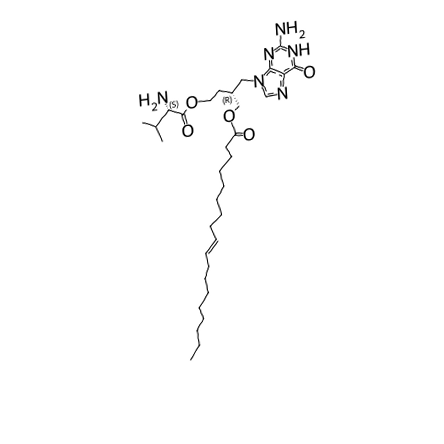 CCCCCCCCC=CCCCCCCCC(=O)OC[C@H](CCOC(=O)[C@@H](N)C(C)C)Cn1cnc2c(=O)[nH]c(N)nc21